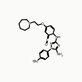 CC(C)(C)c1ccc(-n2nc(NC3C=CC(OCCN4CCCCCC4)=CC3=C=O)nc2N)cc1